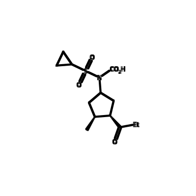 CCC(=O)[C@@H]1CC(N(C(=O)O)S(=O)(=O)C2CC2)C[C@@H]1C